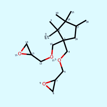 CCC1(C)C(COCC2CO2)(COCC2CO2)CC(C)C1(C)C